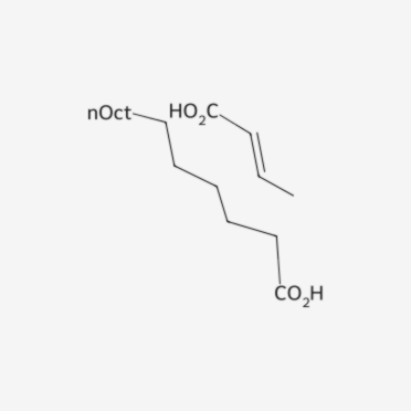 CC=CC(=O)O.CCCCCCCCCCCCCC(=O)O